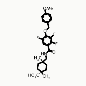 COc1ccc(COc2c(F)cc(C(=O)NC[C@]3(C)CC[C@](C)(C(=O)O)CC3)c(F)c2F)cc1